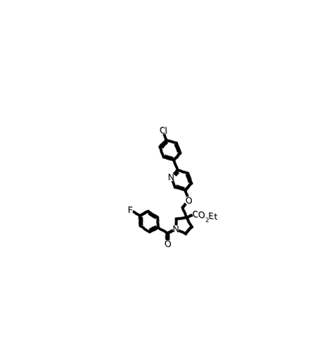 CCOC(=O)C1(COc2ccc(-c3ccc(Cl)cc3)nc2)CCN(C(=O)c2ccc(F)cc2)C1